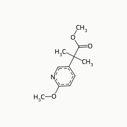 COC(=O)C(C)(C)c1ccc(OC)nc1